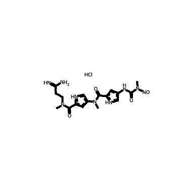 CN(CCC(=N)N)C(=O)c1cc(N(C)C(=O)c2cc(NC(=O)N(C)N=O)c[nH]2)c[nH]1.Cl